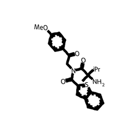 COc1ccc(C(=O)CN(C(=O)c2cc3ccccc3s2)C(=O)C(C)(N)C(C)C)cc1